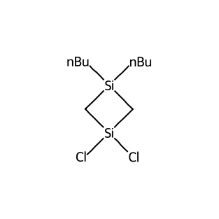 CCCC[Si]1(CCCC)C[Si](Cl)(Cl)C1